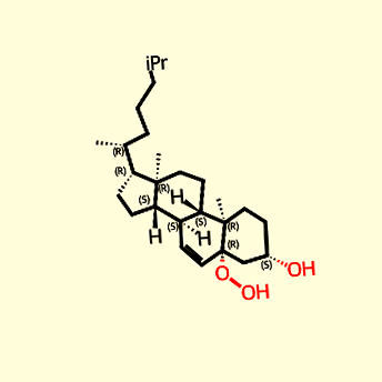 CC(C)CCC[C@@H](C)[C@H]1CC[C@H]2[C@@H]3C=C[C@]4(OO)C[C@@H](O)CC[C@]4(C)[C@H]3CC[C@]12C